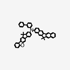 CC1(C)c2cc3ccccc3cc2-c2cc3ccc(N(c4cccc(-c5ccccc5)c4)c4ccc5c(c4)C(C)(C)c4cc6c(cc4-5)oc4ccccc46)cc3cc21